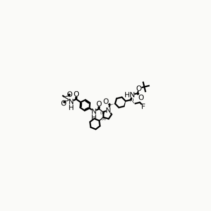 CC(C)(C)OC(=O)N[C@H](CCF)[C@H]1CC[C@H](C(=O)N2CC[C@@H](C3CCCCC3)[C@H]2C(=O)Nc2ccc(C(=O)NS(C)(=O)=O)cc2)CC1